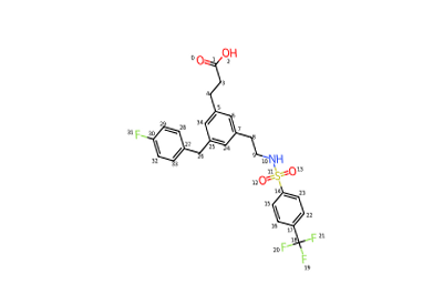 O=C(O)CCc1cc(CCNS(=O)(=O)c2ccc(C(F)(F)F)cc2)cc(Cc2ccc(F)cc2)c1